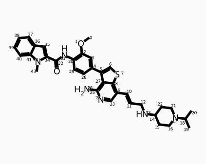 COc1cc(-c2csc3c(C=CCNC4CCN(C(C)C)CC4)cnc(N)c23)ccc1NC(=O)c1cc2ccccc2n1C